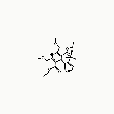 CCOC(=O)C1=C(COC)NC(COC)=C(C(=O)OCC)C1c1ccccc1C(F)(F)F